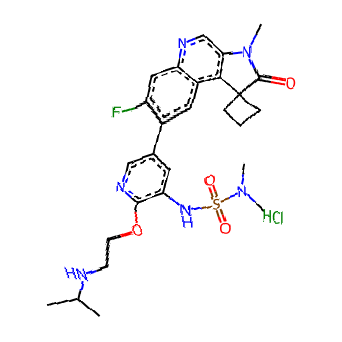 CC(C)NCCOc1ncc(-c2cc3c4c(cnc3cc2F)N(C)C(=O)C42CCC2)cc1NS(=O)(=O)N(C)C.Cl